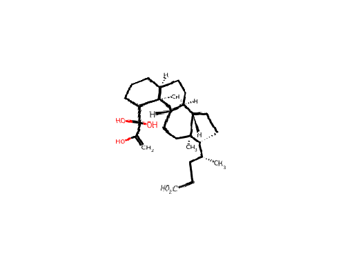 C=C(O)C(O)(O)C1CCC[C@H]2CC[C@H]3[C@@H]4CC[C@H]([C@H](C)CCC(=O)O)[C@@]4(C)CC[C@@H]3[C@@]12C